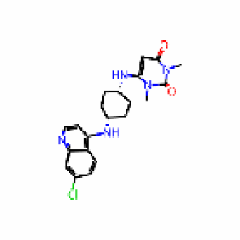 Cn1c(N[C@H]2CC[C@@H](Nc3ccnc4cc(Cl)ccc34)CC2)cc(=O)n(C)c1=O